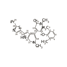 Cc1cccc(C)c1Oc1cn(C)c(=O)cc1C1=CN(C)Cc2[nH]c(-c3cnc(C(C)C)s3)cc21